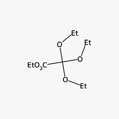 CCOC(=O)C(OCC)(OCC)OCC